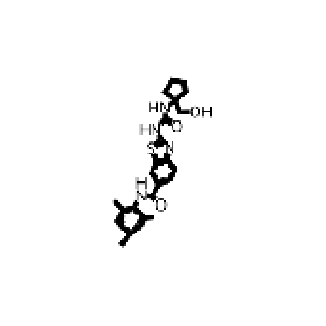 Cc1cc(C)c(NC(=O)c2ccc3nc(NC(=O)NC4(CO)CCCC4)sc3c2)c(C)c1